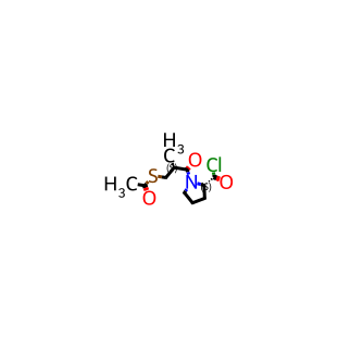 CC(=O)SC[C@@H](C)C(=O)N1CCC[C@H]1C(=O)Cl